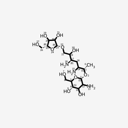 C[C@H](O[C@H]1OC(CO)[C@@H](O)C(O)C1N)C(N)C[C@@H](N)C(O)CO[C@@H]1O[C@H](CO)C(O)C1O